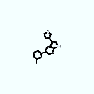 Cc1cccc(-c2cnc3[nH]cc(-c4ccoc4)c3c2)c1